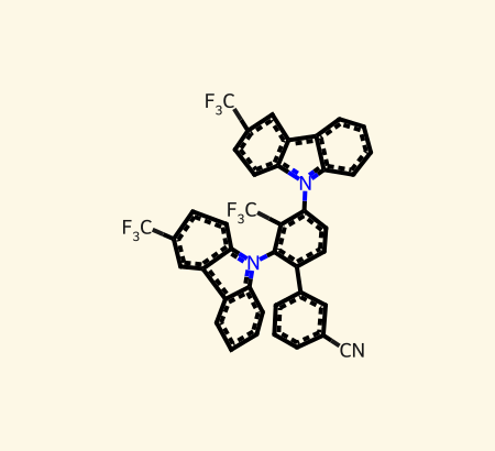 N#Cc1cccc(-c2ccc(-n3c4ccccc4c4cc(C(F)(F)F)ccc43)c(C(F)(F)F)c2-n2c3ccccc3c3cc(C(F)(F)F)ccc32)c1